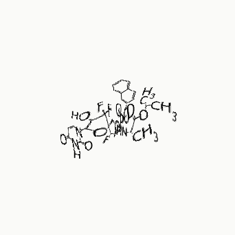 CC(C)OC(=O)[C@H](C)N[P@](=O)(OC[C@@]1(C(F)F)O[C@@H](n2ccc(=O)[nH]c2=O)[C@@H](O)C1(F)F)Oc1ccc2ccccc2c1